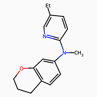 CCc1ccc(N(C)c2ccc3c(c2)OCCC3)nc1